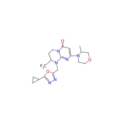 CC1COCCN1c1cc(=O)n2c(n1)N(Cc1nnc(C3CC3)o1)C(C(F)(F)F)CC2